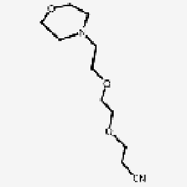 N#CCCOCCOCCN1CCOCC1